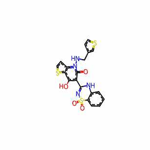 O=c1c(C2=NS(=O)(=O)c3ccccc3N2)c(O)c2sccc2n1NCc1ccsc1